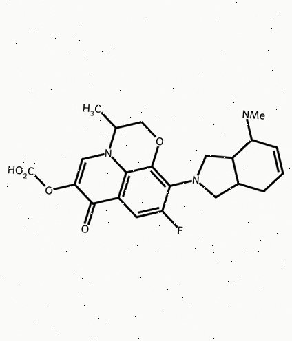 CNC1C=CCC2CN(c3c(F)cc4c(=O)c(OC(=O)O)cn5c4c3OCC5C)CC21